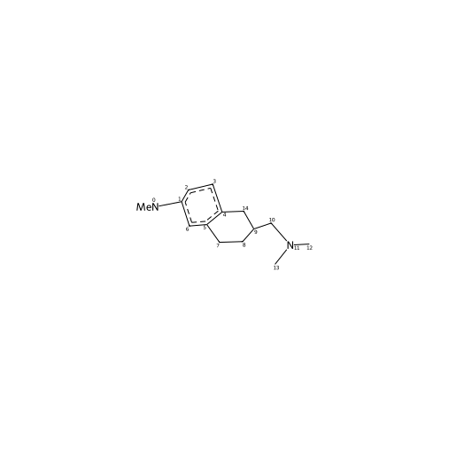 CNc1ccc2c(c1)CCC(CN(C)C)C2